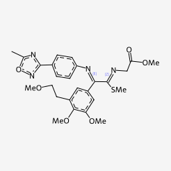 COCCc1cc(C(=N\c2ccc(-c3noc(C)n3)cc2)/C(=N/CC(=O)OC)SC)cc(OC)c1OC